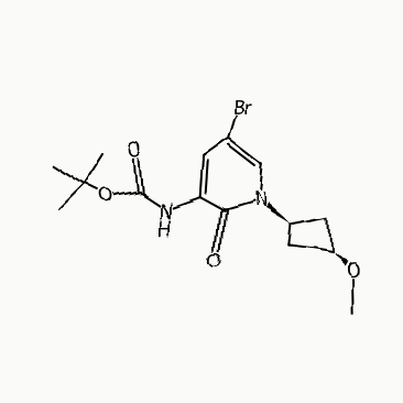 CO[C@H]1C[C@@H](n2cc(Br)cc(NC(=O)OC(C)(C)C)c2=O)C1